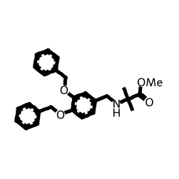 COC(=O)C(C)(C)NCc1ccc(OCc2ccccc2)c(OCc2ccccc2)c1